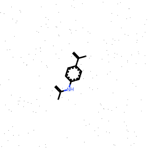 C=C(C)Nc1ccc(C(=C)C)cc1